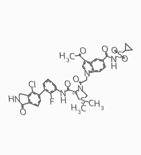 CC(=O)c1cn(CC(=O)N2CS(C)(C)C[C@H]2C(=O)Nc2cccc(-c3ccc4c(c3Cl)CNC4=O)c2F)c2ccc(C(=O)NS(=O)(=O)C3CC3)cc12